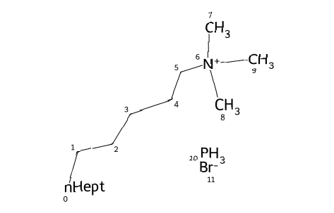 CCCCCCCCCCCC[N+](C)(C)C.P.[Br-]